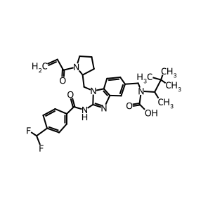 C=CC(=O)N1CCCC1Cn1c(NC(=O)c2ccc(C(F)F)cc2)nc2cc(CN(C(=O)O)C(C)C(C)(C)C)ccc21